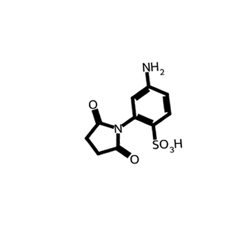 Nc1ccc(S(=O)(=O)O)c(N2C(=O)CCC2=O)c1